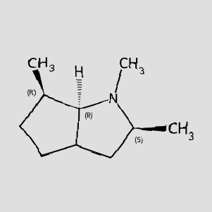 C[C@@H]1CCC2C[C@H](C)N(C)[C@@H]21